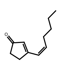 CCCC/C=C\C1=CC(=O)CC1